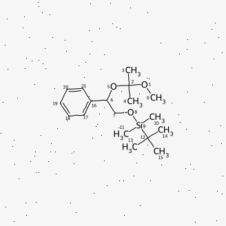 COC(C)(C)OC(CO[Si](C)(C)C(C)(C)C)c1ccccc1